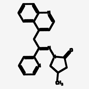 CC1CC(=O)N(N=C(Cc2ccnc3ccccc23)c2ccccn2)C1